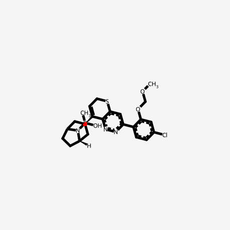 COCOc1cc(Cl)ccc1-c1cc2c(nn1)C([C@@H]1CC3CC[C@@H](C1)N3B(C)O)=CCS2